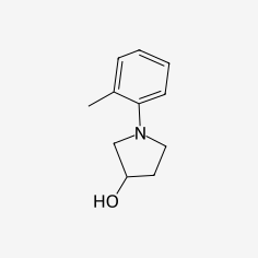 Cc1ccccc1N1CCC(O)C1